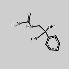 CCCC(CCC)(CNC(N)=O)c1ccccc1